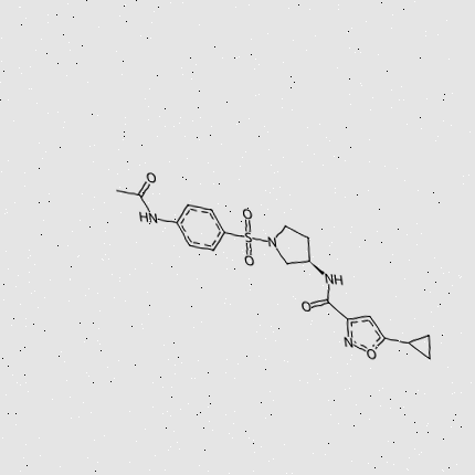 CC(=O)Nc1ccc(S(=O)(=O)N2CC[C@@H](NC(=O)c3cc(C4CC4)on3)C2)cc1